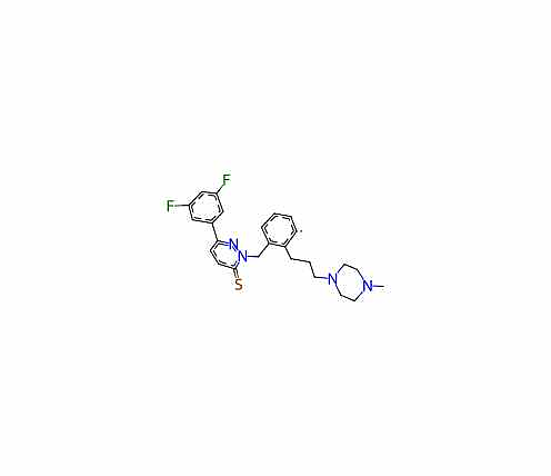 CN1CCN(CCCc2[c]cccc2Cn2nc(-c3cc(F)cc(F)c3)ccc2=S)CC1